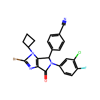 N#Cc1ccc(C2c3c(nc(Br)n3C3CCC3)C(=O)N2c2ccc(F)c(Cl)c2)cc1